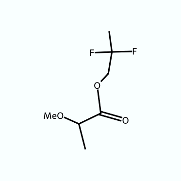 COC(C)C(=O)OCC(C)(F)F